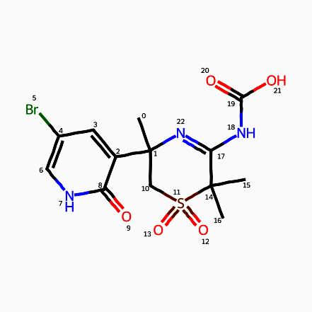 CC1(c2cc(Br)c[nH]c2=O)CS(=O)(=O)C(C)(C)C(NC(=O)O)=N1